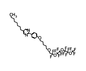 CCCCCCCCc1cnc(-c2ccc(OCCCCCOCC(F)(F)OC(F)(F)C(F)(F)OC(F)(F)C(F)(F)OC(F)(F)F)cc2)nc1